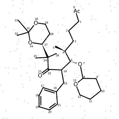 CC(=O)CCC[C@H](C)[C@H](OC1CCCCO1)C(Cc1ccccc1)C(=O)C(C)(C)[C@@H]1CCOC(C)(C)O1